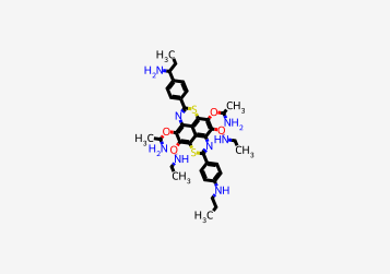 CCCNc1ccc(C2=Nc3c(ONCC)c(OC(C)N)c4c5c(c(OC(C)N)c(ONCC)c(c35)S2)N=C(c2ccc(C(N)CC)cc2)S4)cc1